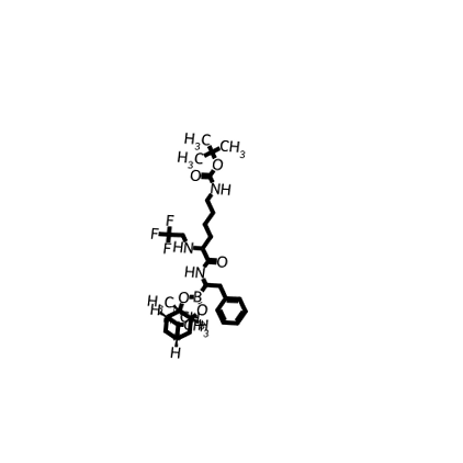 CC(C)(C)OC(=O)NCCCCC(NCC(F)(F)F)C(=O)NC(Cc1ccccc1)B1O[C@@H]2C[C@@H]3C[C@@H](C3(C)C)[C@]2(C)O1